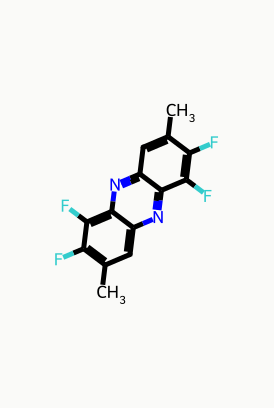 Cc1cc2nc3c(F)c(F)c(C)cc3nc2c(F)c1F